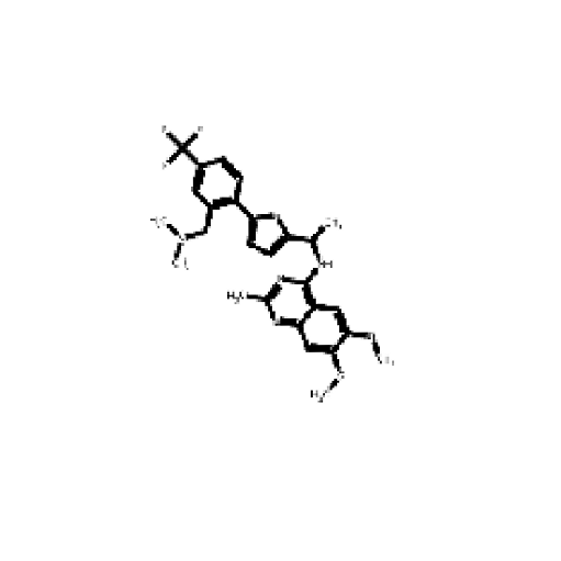 COc1cc2nc(C)nc(NC(C)c3ccc(-c4ccc(C(F)(F)F)cc4CN(C)C)s3)c2cc1OC